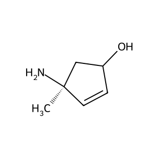 C[C@@]1(N)C=CC(O)C1